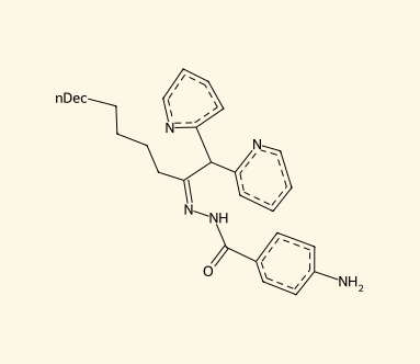 CCCCCCCCCCCCCCC(=NNC(=O)c1ccc(N)cc1)C(c1ccccn1)c1ccccn1